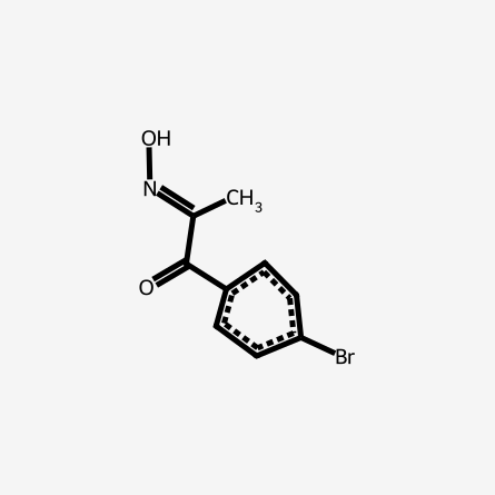 C/C(=N\O)C(=O)c1ccc(Br)cc1